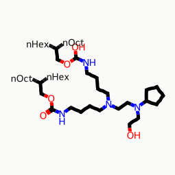 CCCCCCCCC(CCCCCC)COC(=O)NCCCCN(CCCCNC(O)OCC(CCCCCC)CCCCCCCC)CCN(CCO)C1CCCC1